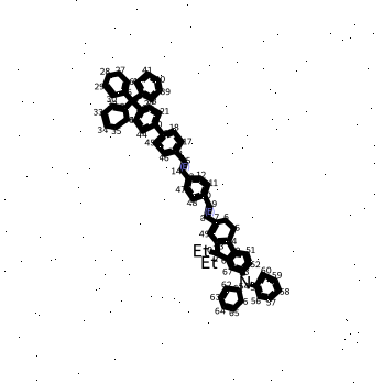 CCC1(CC)C2=C(CCC(/C=C/c3ccc(/C=C/c4ccc(-c5ccc(C(C6=CCCC=C6)(C6=CC=CCC6)c6ccccc6)cc5)cc4)cc3)=C2)c2ccc(N(c3ccccc3)C3C=CC=CC3)cc21